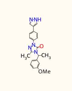 COc1cccc(C(C)n2c(C)nn(-c3ccc(-c4cn[nH]c4)cc3)c2=O)c1